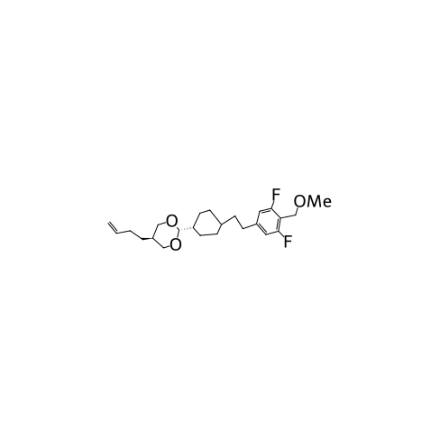 C=CCC[C@H]1CO[C@H](C2CCC(CCc3cc(F)c(COC)c(F)c3)CC2)OC1